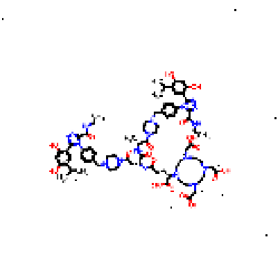 CCNC(=O)c1nnc(-c2cc(C(C)C)c(O)cc2O)n1-c1ccc(CN2CCN(C(=O)C[C@@H](NC(=O)CC[C@H](C(=O)O)N3CCN(CC(=O)O)CCN(CC(=O)O)CCN(CC(=O)O)CC3)C(=O)N[C@H](C)C(=O)N3CCN(Cc4ccc(-n5c(C(=O)NCC)nnc5-c5cc(C(C)C)c(O)cc5O)cc4)CC3)CC2)cc1